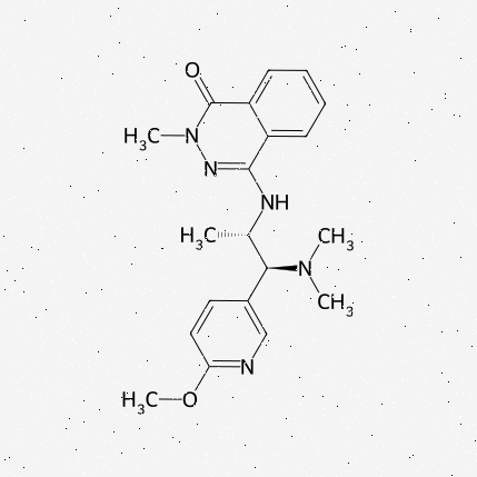 COc1ccc([C@@H]([C@H](C)Nc2nn(C)c(=O)c3ccccc23)N(C)C)cn1